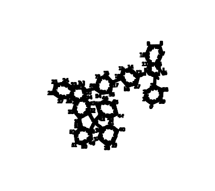 c1ccc(-c2nc3ccccc3n2-c2ccc(-c3ccc(-c4nc5ccccc5c5cc6c(cc45)C(c4ccccc4)(c4ccccc4)c4ccccc4-6)cc3)cc2)cc1